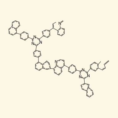 C=C/C=C\c1cc(-c2nc(-c3ccc(-c4ccnc5c(-c6ccc7c(-c8ccc(-c9nc(-c%10ccc(/C(=C/C)c%11ccccc%11N=C)cc%10)nc(-c%10ccc(-c%11cccc%12ccccc%11%12)cc%10)n9)cc8)cccc7c6)cccc45)cc3)nc(-c3ccc4ccccc4c3)n2)ccc1C